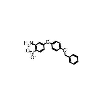 Nc1cc(Oc2ccc(OCc3ccccc3)cc2)ccc1[N+](=O)[O-]